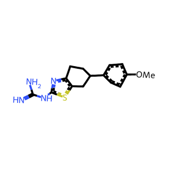 COc1ccc(C2CCc3nc(NC(=N)N)sc3C2)cc1